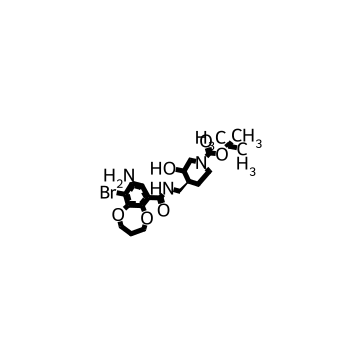 CC(C)(C)OC(=O)N1CC[C@@H](CNC(=O)c2cc(N)c(Br)c3c2OCCCO3)C(O)C1